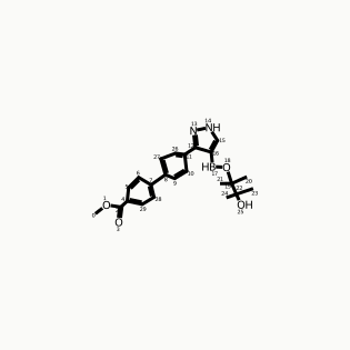 COC(=O)c1ccc(-c2ccc(-c3n[nH]cc3BOC(C)(C)C(C)(C)O)cc2)cc1